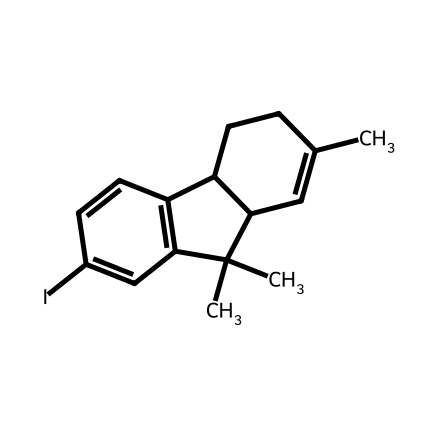 CC1=CC2C(CC1)c1ccc(I)cc1C2(C)C